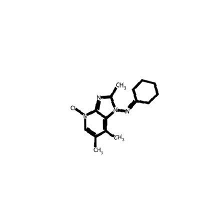 CC1=CN(Cl)C2=NC(C)N(N=C3CCCCC3)C2=C1C